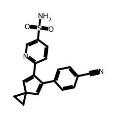 N#Cc1ccc(C2=CC3(C=C2c2ccc(S(N)(=O)=O)cn2)CC3)cc1